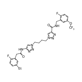 CCc1ccc(F)c(CC(=O)Nc2cn(CCCCn3cc(C(=O)NCc4cc(OC(F)(F)F)ccc4F)nn3)nn2)c1